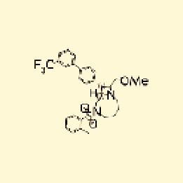 COCC1[C@@H](c2ccc(-c3cccc(C(F)(F)F)c3)cc2)[C@@H]2CN(S(=O)(=O)c3ccccc3C)CCCCN12